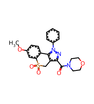 COc1ccc2c(c1)S(=O)(=O)Cc1c(C(=O)N3CCOCC3)nn(-c3ccccc3)c1-2